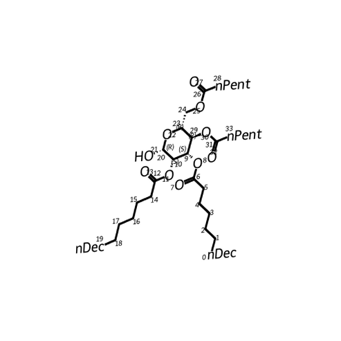 CCCCCCCCCCCCCCCC(=O)O[C@@H]1[C@H](OC(=O)CCCCCCCCCCCCCCC)[C@H](O)O[C@H](COC(=O)CCCCC)[C@H]1OC(=O)CCCCC